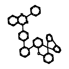 c1ccc(-c2nc(-c3ccc(-c4ccccc4-c4cccc5c4Oc4ccccc4C54c5ccccc5-c5ccccc54)cc3)c3ccccc3n2)cc1